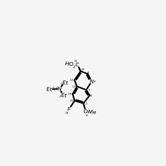 CCN(CC)CC.COc1cc2ncc(C(=O)O)cc2cc1F